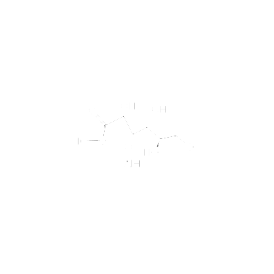 O=C(OO)[C@H](O)[C@@H](O)[C@H](O)[C@H](O)CO.[AlH3]